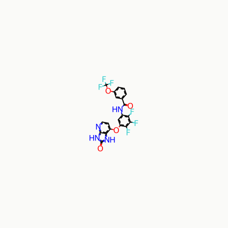 O=C(Nc1cc(Oc2ccnc3[nH]c(=O)[nH]c23)c(F)c(F)c1F)c1cccc(OC(F)(F)F)c1